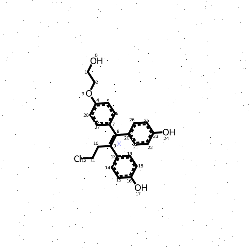 OCCOc1ccc(/C(=C(\CCCl)c2ccc(O)cc2)c2ccc(O)cc2)cc1